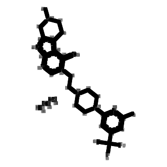 Cc1cc(C(F)(F)F)cc(N2CCN(CCn3cnc4sc5c(c4c3=O)CCN(C)C5)CC2)n1.Cl.Cl.Cl